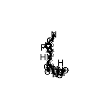 N#CCOc1cc(F)c2c(c1)CC(CNCCC1CN(c3cnc4c(n3)NC(=O)CO4)C(=O)O1)C2